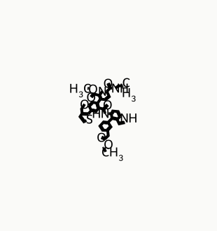 CCCNC(=O)c1ccc(-c2cc3c(cc2C(=O)Nc2ccc4[nH]ccc4c2-c2cccc(CC(=O)OCC)c2)-c2sccc2CO3)c(C(=O)OC)n1